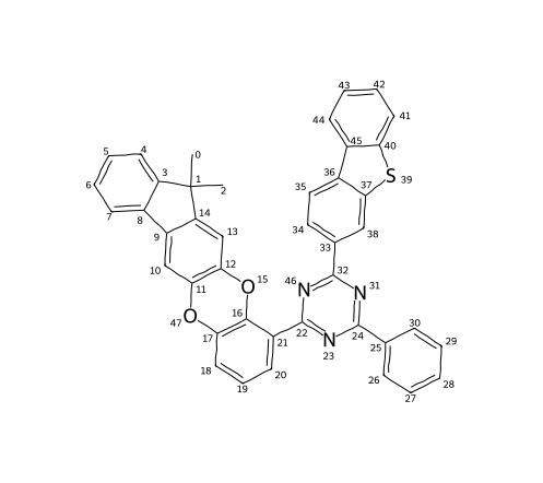 CC1(C)c2ccccc2-c2cc3c(cc21)Oc1c(cccc1-c1nc(-c2ccccc2)nc(-c2ccc4c(c2)sc2ccccc24)n1)O3